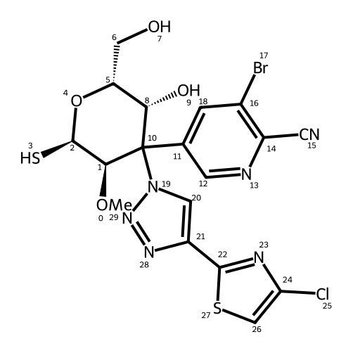 CO[C@H]1[C@@H](S)O[C@H](CO)[C@H](O)C1(c1cnc(C#N)c(Br)c1)n1cc(-c2nc(Cl)cs2)nn1